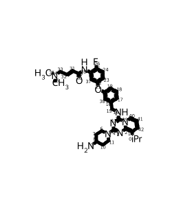 CC(C)C1=C2N=C(N3CCC(N)CC3)N=C(NCc3cccc(Oc4ccc(F)c(NC(=O)/C=C/CN(C)C)c4)c3)N2C=C=C1